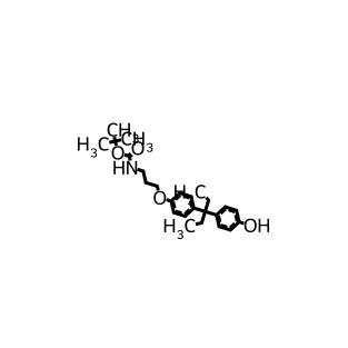 CCC(CC)(c1ccc(O)cc1)c1ccc(OCCCNC(=O)OC(C)(C)C)cc1